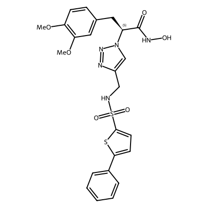 COc1ccc(C[C@@H](C(=O)NO)n2cc(CNS(=O)(=O)c3ccc(-c4ccccc4)s3)nn2)cc1OC